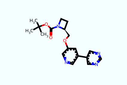 CC(C)(C)OC(=O)N1CC[C@H]1COc1cncc(-c2cncnc2)c1